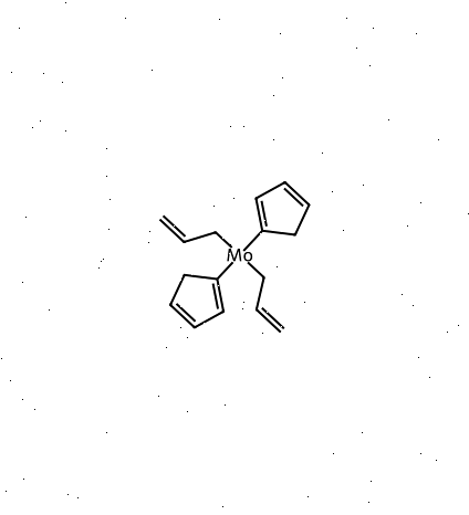 C=C[CH2][Mo]([CH2]C=C)([C]1=CC=CC1)[C]1=CC=CC1